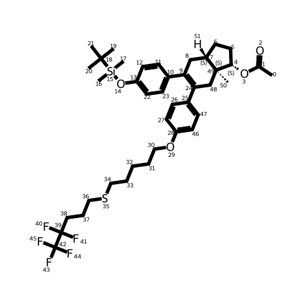 CC(=O)O[C@H]1CC[C@H]2CC(c3ccc(O[Si](C)(C)C(C)(C)C)cc3)=C(c3ccc(OCCCCCSCCCC(F)(F)C(F)(F)F)cc3)C[C@@]21C